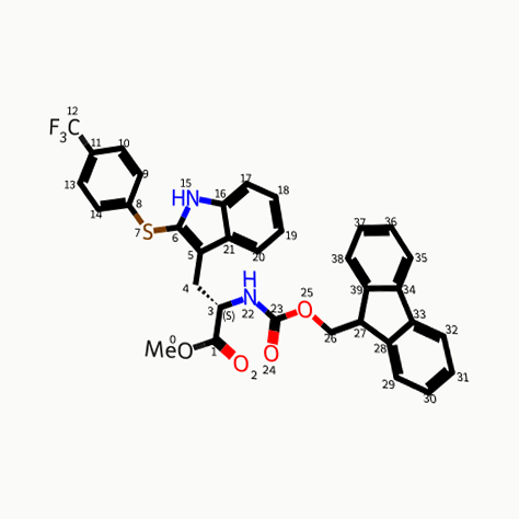 COC(=O)[C@H](Cc1c(Sc2ccc(C(F)(F)F)cc2)[nH]c2ccccc12)NC(=O)OCC1c2ccccc2-c2ccccc21